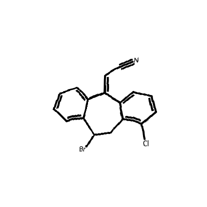 N#CC=C1c2ccccc2C(Br)Cc2c(Cl)cccc21